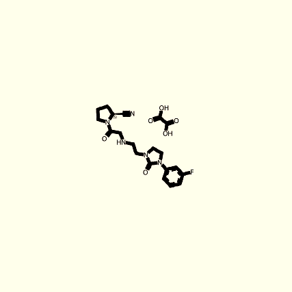 N#C[C@@H]1CCCN1C(=O)CNCCN1CCN(c2cccc(F)c2)C1=O.O=C(O)C(=O)O